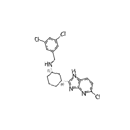 Clc1cc(Cl)cc(CN[C@H]2CCC[C@@H](c3nc4nc(Cl)ccc4[nH]3)C2)c1